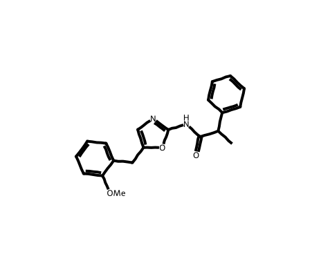 COc1ccccc1Cc1cnc(NC(=O)C(C)c2ccccc2)o1